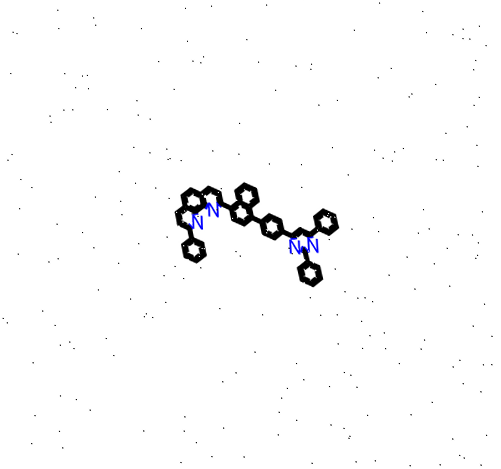 c1ccc(-c2cc(-c3ccc(-c4ccc(-c5ccc6ccc7ccc(-c8ccccc8)nc7c6n5)c5ccccc45)cc3)nc(-c3ccccc3)n2)cc1